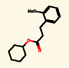 COc1ccccc1CCC(=O)OC1CCCCC1